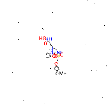 COc1ccc(OCCCS(=O)(=O)N[C@@H](CCCCCC(=O)NO)C(=O)Nc2ccccc2)cc1